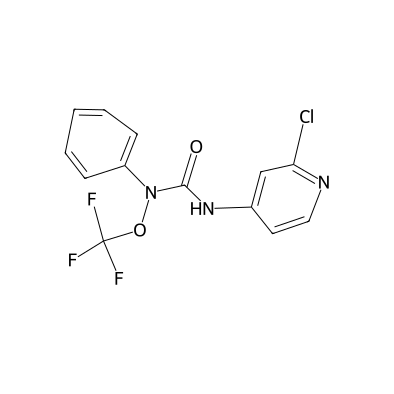 O=C(Nc1ccnc(Cl)c1)N(OC(F)(F)F)c1ccccc1